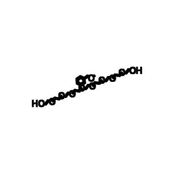 COCc1ccccc1.OCCOCCOCCOCCOCCOCCOCCOCCOCCO